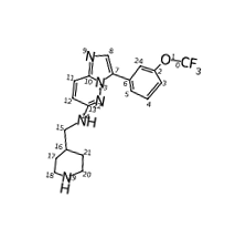 FC(F)(F)Oc1cccc(-c2cnc3ccc(NCC4CCNCC4)nn23)c1